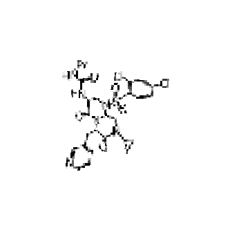 CC(C)NC(=O)NC1CN(S(=O)(=O)c2ccc(Cl)cc2Cl)C2CN(C3CC3)C(=O)C(Cc3cccnc3)N2C1=O